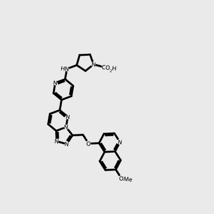 COc1ccc2c(OCc3nnc4ccc(-c5ccc(NC6CCN(C(=O)O)C6)nc5)nn34)ccnc2c1